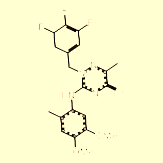 COc1cc(C)c(Nc2nc(=O)c(C)nn2CC2=CC(F)=C(F)C(F)C2)cc1OC